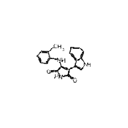 Cc1ccccc1NC1=C(c2c[nH]c3ccccc23)C(=O)NC1=O